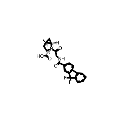 C[C@@]12C[C@@H]1N(C(=O)CNC(=O)c1ccc3c(c1)C(F)(F)c1ccccc1-3)[C@H](C(=O)O)C2